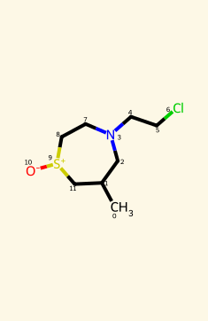 CC1CN(CCCl)CC[S+]([O-])C1